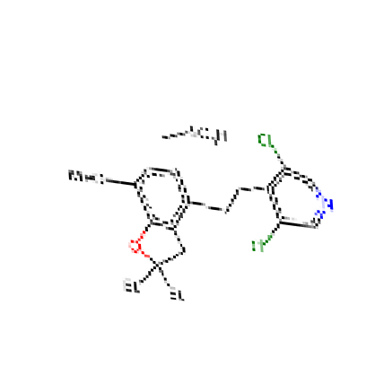 CCC1(CC)Cc2c(CCc3c(Cl)cncc3Cl)ccc(OC)c2O1.CS(=O)(=O)O